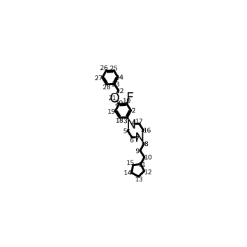 Fc1cc(N2CCN(CCCC3CCCC3)CC2)ccc1OCc1ccccc1